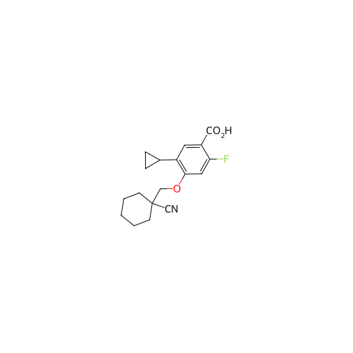 N#CC1(COc2cc(F)c(C(=O)O)cc2C2CC2)CCCCC1